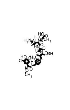 CCO/N=C(\C(=O)NCC12CC[N+](CC3=C(COO)N4C(=O)[C@@H](NC(=O)/C(=N\OC(C)(C)C(=O)O)c5csc(N)n5)[C@H]4S[C@H]3C)(CC1)CC2)c1cc(O)c(O)c(Cl)c1